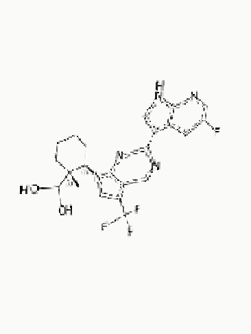 C[C@@]1(C(O)O)CCCC[C@H]1n1cc(C(F)(F)F)c2cnc(-c3c[nH]c4ncc(F)cc34)nc21